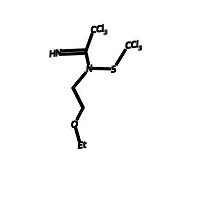 CCOCCN(SC(Cl)(Cl)Cl)C(=N)C(Cl)(Cl)Cl